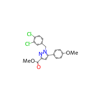 COC(=O)c1cc(-c2ccc(OC)cc2)n(Cc2ccc(Cl)c(Cl)c2)n1